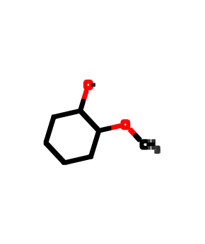 COC1CCCCC1[O]